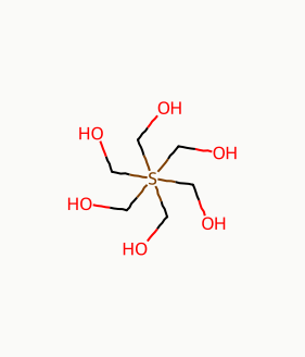 OCS(CO)(CO)(CO)(CO)CO